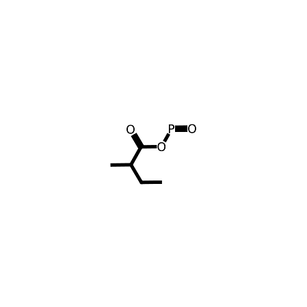 CCC(C)C(=O)OP=O